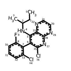 CCC(C)Nc1c(-c2c(F)cccc2Cl)c(Cl)nc2nccnc12